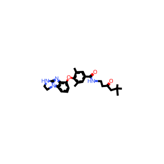 Cc1cc(C(=O)NCCC(=O)CC(C)(C)C)cc(C)c1Oc1cccc2c1nc1n2CCN1